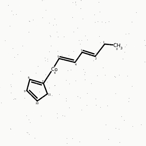 CC/C=C/C=[CH]/[Co][C]1=CC=CC1